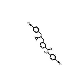 N#Cc1ccc(CN(Cc2cccc(C(=O)Nc3ccc(C#N)cc3)c2)C2CC2)cc1